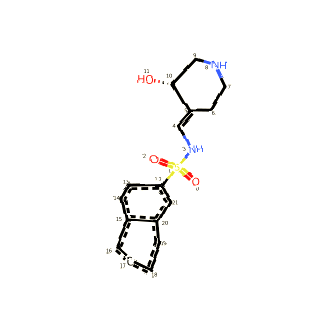 O=S(=O)(N/C=C1\CCNC[C@H]1O)c1ccc2ccccc2c1